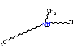 CCCCCCCCCCCCCCCCCC[n+]1ccn(CCCCCCCCC)c1CCCCC